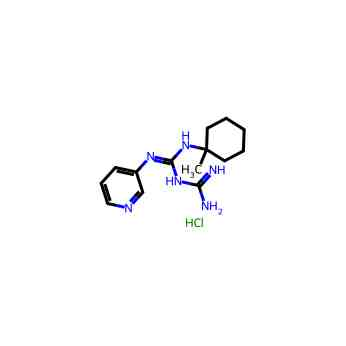 CC1(NC(=Nc2cccnc2)NC(=N)N)CCCCC1.Cl